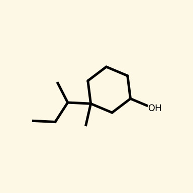 CCC(C)C1(C)CCCC(O)C1